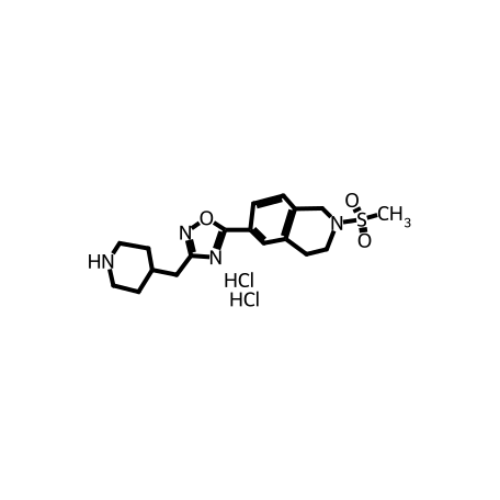 CS(=O)(=O)N1CCc2cc(-c3nc(CC4CCNCC4)no3)ccc2C1.Cl.Cl